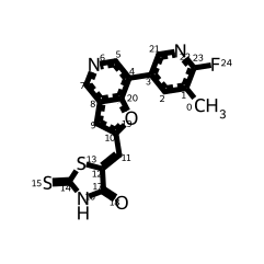 Cc1cc(-c2cncc3cc(/C=C4\SC(=S)NC4=O)oc23)cnc1F